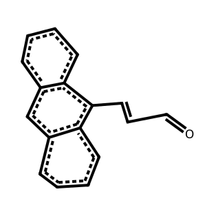 O=C/C=C/c1c2ccccc2cc2ccccc12